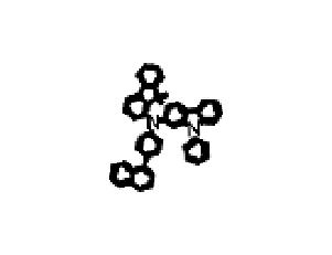 CC1(C)c2ccccc2-c2cccc(N(c3ccc(-c4cccc5ccccc45)cc3)c3ccc4c5ccccc5n(-c5ccccc5)c4c3)c21